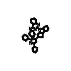 c1ccc(-c2cc(-c3ccc4c5ccccc5n(-c5nc6ccccc6c6nc7ccccc7n56)c4c3)nc(-c3ccccc3)n2)cc1